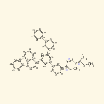 C\C=C(/C=C\C=C(/C)CC)c1cccc(-c2cc(-c3cccc(-c4ccccc4)c3)nc(-c3ccc4c5c(cccc35)-c3ccccc3-4)n2)c1